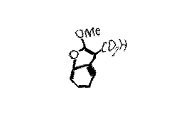 COc1oc2ccccc2c1C(=O)O